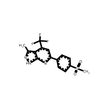 Cc1n[nH]c2nc(-c3ccc(S(C)(=O)=O)cc3)cc(C(F)(F)F)c12